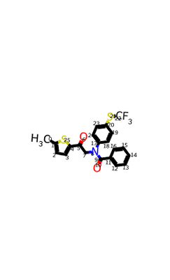 Cc1ccc(C(=O)CN(C(=O)c2ccccc2)c2ccc(SC(F)(F)F)cc2)s1